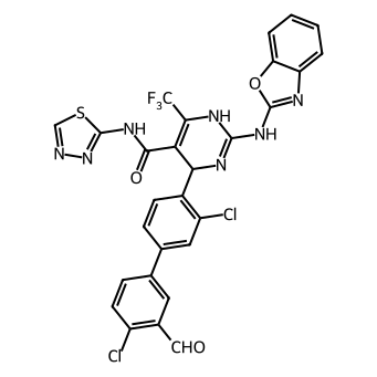 O=Cc1cc(-c2ccc(C3N=C(Nc4nc5ccccc5o4)NC(C(F)(F)F)=C3C(=O)Nc3nncs3)c(Cl)c2)ccc1Cl